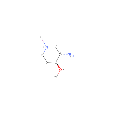 CO[C@H]1CCN(I)C[C@@H]1N